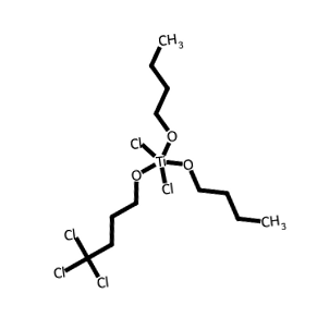 CCCC[O][Ti]([Cl])([Cl])([O]CCCC)[O]CCCC(Cl)(Cl)Cl